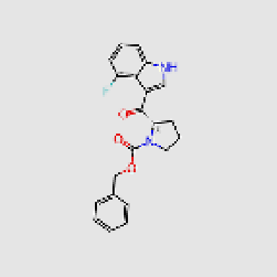 O=C(c1c[nH]c2cccc(F)c12)[C@@H]1CCCN1C(=O)OCc1ccccc1